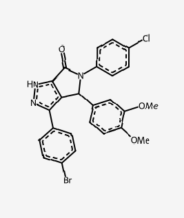 COc1ccc(C2c3c(-c4ccc(Br)cc4)n[nH]c3C(=O)N2c2ccc(Cl)cc2)cc1OC